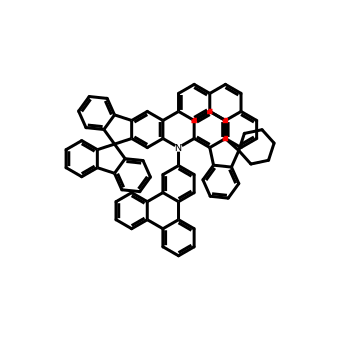 c1ccc2c(c1)-c1c(N(c3ccc4c5ccccc5c5ccccc5c4c3)c3cc4c(cc3-c3ccc5ccc6ccccc6c5c3)-c3ccccc3C43c4ccccc4-c4ccccc43)cccc1C21CCCCC1